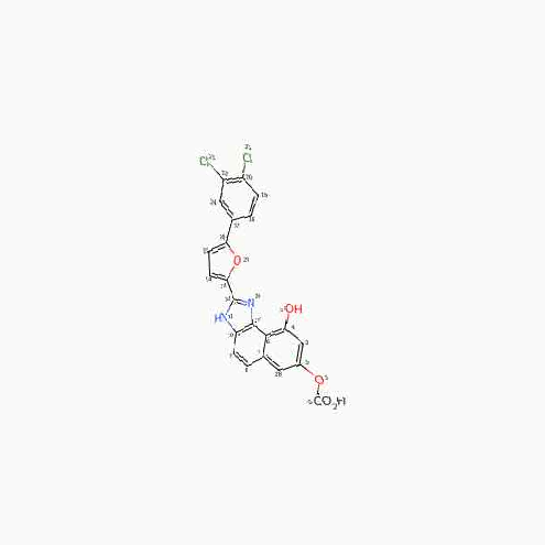 O=C(O)Oc1cc(O)c2c(ccc3[nH]c(-c4ccc(-c5ccc(Cl)c(Cl)c5)o4)nc32)c1